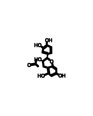 CC(C)=O.Oc1cc(O)c2c(c1)O[C@H](c1ccc(O)c(O)c1)[C@@H](O)C2